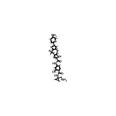 NCC1(NC(=O)c2ccc(NC(=O)c3ncc(Cc4cn(-c5ccc(N)cn5)nc4C(F)(F)F)[nH]3)cc2Cl)CC1